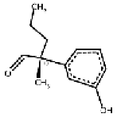 CCC[C@@](C)(C=O)c1cccc(O)c1